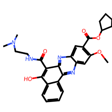 COc1cc2nc3c(nc2cc1C(=O)OC1CCCC1)c(C(=O)NCCN(C)C)c(O)c1ccccc13